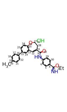 CCOC(=N)c1ccc(NC(=O)C2=Cc3cc(-c4ccc(C)cc4)ccc3OCC2)cc1.Cl